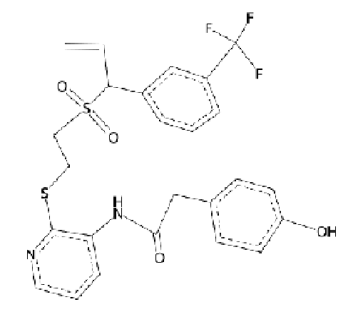 C=CC(c1cccc(C(F)(F)F)c1)S(=O)(=O)CCSc1ncccc1NC(=O)Cc1ccc(O)cc1